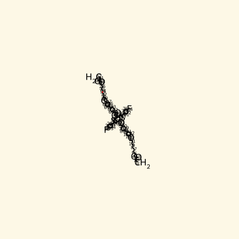 C=CC(=O)OCCCCCCCCOc1ccc(C2CCC(COc3c4cc(-c5ccc(F)cc5)sc4c(OC(=O)C4CCC(c5ccc(OCCCCCCCCOC(=O)C=C)cc5)CC4)c4cc(-c5ccc(F)cc5)sc34)CC2)cc1